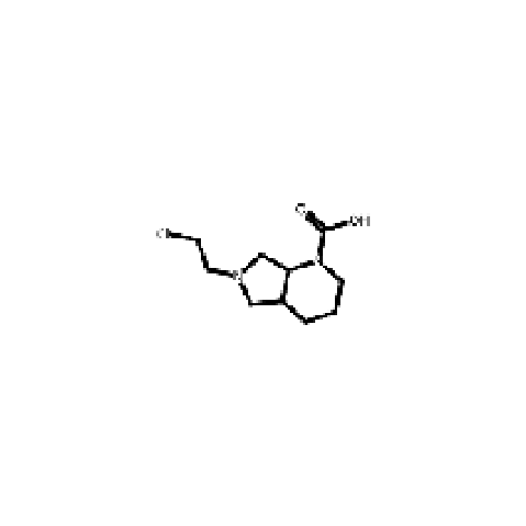 O=C(O)N1CCCC2CN(CCCl)CC21